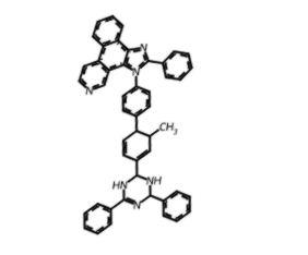 CC1C=C(C2NC(c3ccccc3)=NC(c3ccccc3)N2)C=CC1c1ccc(-n2c(-c3ccccc3)nc3c4ccccc4c4ccncc4c32)cc1